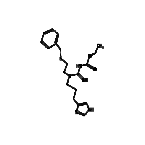 CCOC(=O)NC(=N)N(CCCc1c[nH]cn1)CCSCc1ccccc1